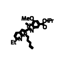 C=CCCCn1c(-c2nc3cc(C(=O)OC(C)C)cc(OC)c3n2C)cc2ccc(CC)nc21